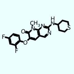 Cn1c(=O)c(Oc2ccc(F)cc2F)cc2cnc(NC3CCSCC3)nc21